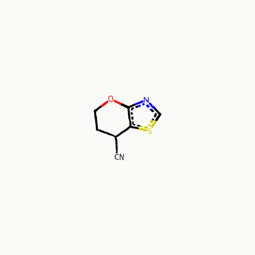 N#CC1CCOc2ncsc21